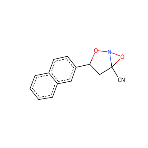 N#CC12CC(c3ccc4ccccc4c3)ON1O2